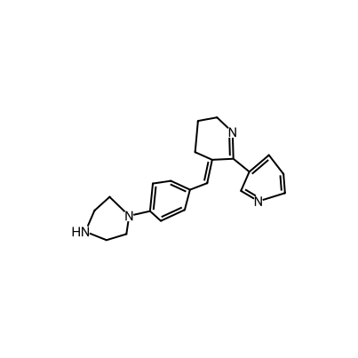 C(=C1CCCN=C1c1cccnc1)c1ccc(N2CCNCC2)cc1